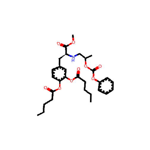 CCCCC(=O)Oc1ccc(C[C@H](NCC(C)OC(=O)Oc2ccccc2)C(=O)OC)cc1OC(=O)CCCC